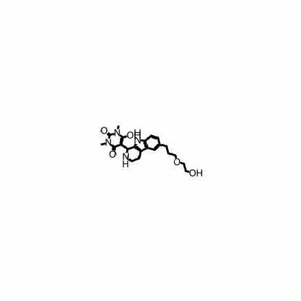 Cn1c(O)c(C2NCCc3c2[nH]c2ccc(CCCOCCO)cc32)c(=O)n(C)c1=O